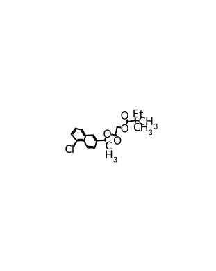 CCC(C)(C)C(=O)OCC(=O)OC(C)c1ccc2c(Cl)cccc2c1